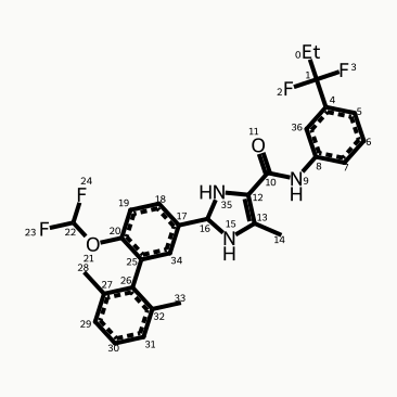 CCC(F)(F)c1cccc(NC(=O)C2=C(C)NC(c3ccc(OC(F)F)c(-c4c(C)cccc4C)c3)N2)c1